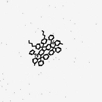 CCCCc1ccc(C2(c3ccc(CCCC)cc3)c3cc4c(cc3-c3cc5c(cc32)N(c2ccccc2)c2ccc(C)cc2C5(c2ccccc2)c2ccccc2)C(c2ccccc2)(c2ccccc2)c2cc(C)ccc2N4c2ccccc2)cc1